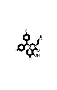 COCCN1CN(C(c2ccc(F)cc2)c2ccc(F)cc2)n2ccc(=O)c(O)c2C1=O